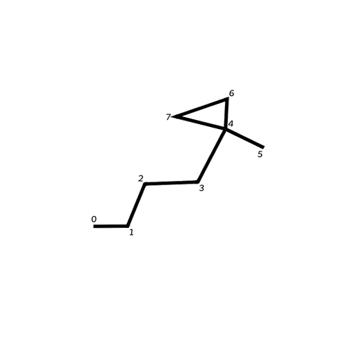 CCCCC1(C)CC1